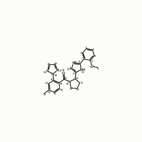 COc1ccccc1-c1nnc(C2CCCN2C(=O)c2ccc(C)cc2-n2nccn2)[nH]1